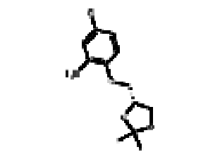 CC1(C)OC[C@@H](COc2ccc(Cl)cc2N)O1